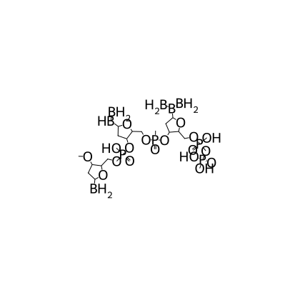 BBC1CC(OP(=O)(O)OCC2OC(B)CC2OC)C(COP(C)(=O)OC2CC(B(B)B)OC2COP(=O)(O)OP(=O)(O)O)O1